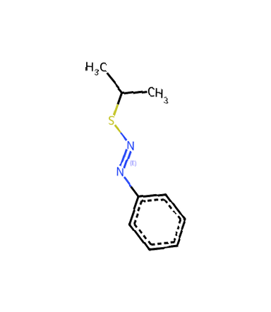 CC(C)S/N=N/c1ccccc1